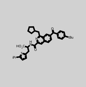 CC(C)c1ccc(CC(NC(=O)c2cc3ccc(C(=O)c4ccc(C(C)(C)C)cc4)cc3c(CC3CCCC3)n2)C(=O)O)s1